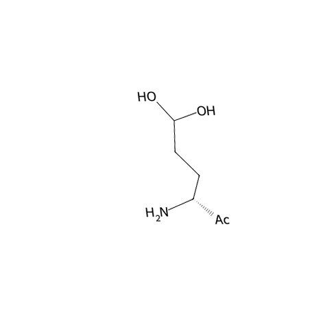 CC(=O)[C@H](N)CCC(O)O